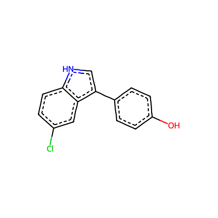 Oc1ccc(-c2c[nH]c3ccc(Cl)cc23)cc1